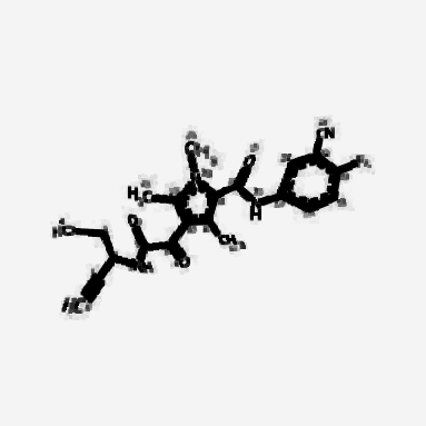 C#CC(CO)NC(=O)C(=O)c1c(C)c(C(=O)Nc2ccc(F)c(C#N)c2)n(C)c1C